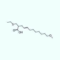 CCSCC(CC=CCCCCCCCOC)C(=O)O